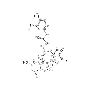 C=C(C)C1C[C@@H](C)C2[C@@H](C=C(COC(=O)Cc3ccc(O)c(OC)c3)C[C@]3(O)C(=O)C(C)=C[C@@H]23)[C@H]1OCO